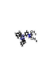 Cc1cc(C)n(-c2cccc(-c3nc(C45CC6CC(CC(C6)C4)C5)nc(C45CC6CC(CC(C6)C4)C5)n3)c2)n1